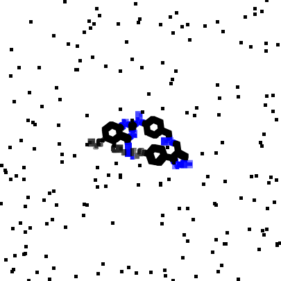 C[C@@H]1CCc2nc(NC3CCC(CNCc4c[nH]nc4-c4ccc(C(F)(F)F)cc4)CC3)nc(N)c2[C@@H]1C